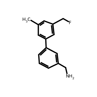 Cc1cc(CF)cc(-c2cccc(CN)c2)c1